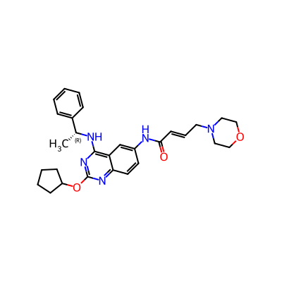 C[C@@H](Nc1nc(OC2CCCC2)nc2ccc(NC(=O)C=CCN3CCOCC3)cc12)c1ccccc1